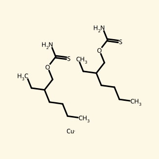 CCCCC(CC)COC(N)=S.CCCCC(CC)COC(N)=S.[Cu]